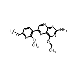 CCOc1nc(N)nc2ncc(-c3ccc(OC)nc3OC)nc12